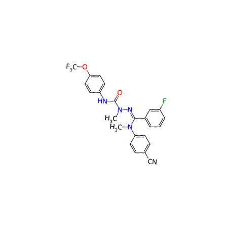 CN(N=C(c1cccc(F)c1)N(C)c1ccc(C#N)cc1)C(=O)Nc1ccc(OC(F)(F)F)cc1